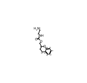 NCCNC(=O)OCC1CCc2ccccc2O1